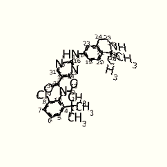 CC(C)(C)c1cccc(Cl)c1N1COc2nc(Nc3ccc4c(c3)CCNC4(C)C)ncc2C1=O